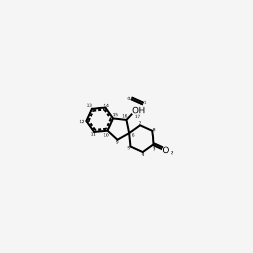 C=C.O=C1CCC2(CC1)Cc1ccccc1C2O